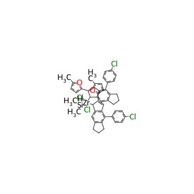 Cc1ccc(C2=Cc3c(cc4c(c3-c3ccc(Cl)cc3)CCC4)[CH]2[Zr]([Cl])([Cl])([CH]2C(c3ccc(C)o3)=Cc3c2cc2c(c3-c3ccc(Cl)cc3)CCC2)[SiH](C)C)o1